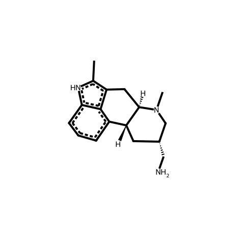 Cc1[nH]c2cccc3c2c1C[C@@H]1[C@@H]3C[C@@H](CN)CN1C